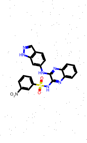 O=[N+]([O-])c1cccc(S(=O)(=O)Nc2nc3ccccc3nc2Nc2ccc3cn[nH]c3c2)c1